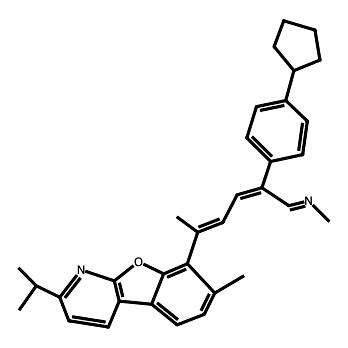 C/N=C/C(=C\C=C(/C)c1c(C)ccc2c1oc1nc(C(C)C)ccc12)c1ccc(C2CCCC2)cc1